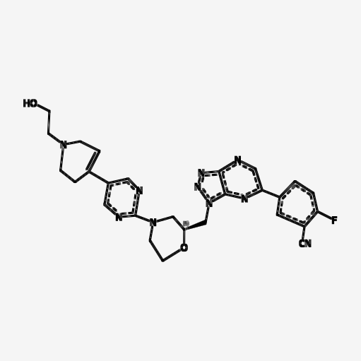 N#Cc1cc(-c2cnc3nnn(C[C@@H]4CN(c5ncc(C6=CCN(CCO)CC6)cn5)CCO4)c3n2)ccc1F